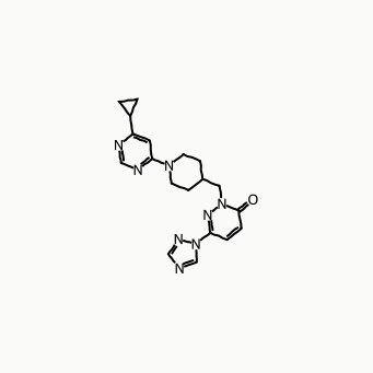 O=c1ccc(-n2cncn2)nn1CC1CCN(c2cc(C3CC3)ncn2)CC1